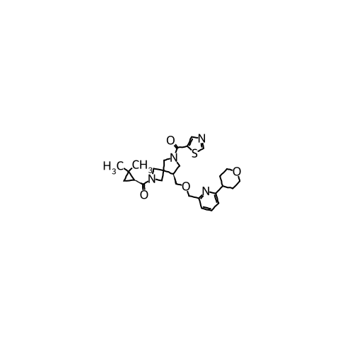 CC1(C)C[C@@H]1C(=O)N1CC2(CN(C(=O)c3cncs3)C[C@H]2COCc2cccc(C3CCOCC3)n2)C1